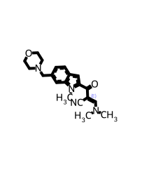 CN(C)/C=C(\C#N)C(=O)c1cc2ccc(CN3CCOCC3)cc2n1C